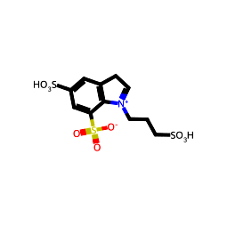 O=S(=O)(O)CCC[N+]1=CCc2cc(S(=O)(=O)O)cc(S(=O)(=O)[O-])c21